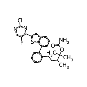 CC(CCc1ccccc1-c1cccc2cc(-c3nc(Cl)ncc3F)sc12)C(C)(C)OC(N)=O